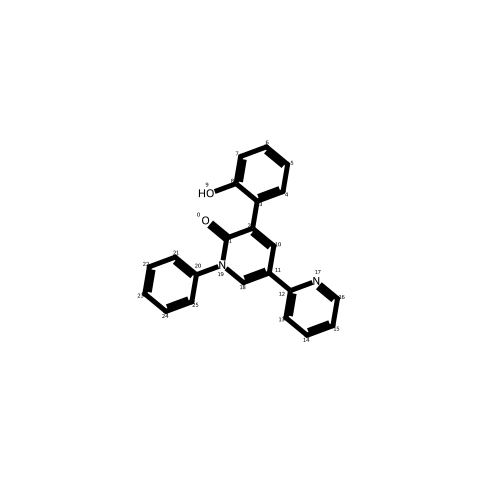 O=c1c(-c2ccccc2O)cc(-c2ccccn2)cn1-c1ccccc1